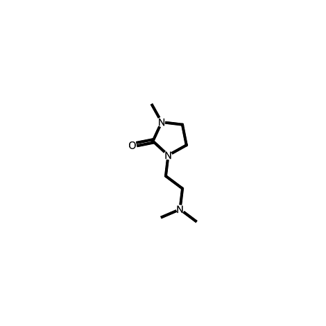 CN(C)CCN1CCN(C)C1=O